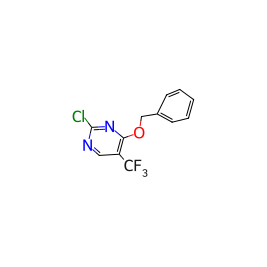 FC(F)(F)c1cnc(Cl)nc1OCc1ccccc1